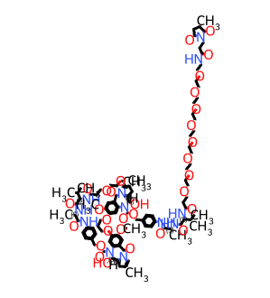 COCCOCCC(=O)N[C@H](C(=O)N[C@@H](C)C(=O)Nc1ccc(COC(=O)N2c3cc(OCCCOc4cc5c(cc4OC)C(=O)N4C=C(C)C[C@H]4[C@H](O)N5C(=O)OCc4ccc(NC(=O)[C@H](C)NC(=O)[C@@H](NC(=O)CCOCCOCCOCCOCCOCCOCCOCCOCCNC(=O)CCN5C(=O)CC(C)C5=O)C(C)C)cc4)c(OC)cc3C(=O)N3C=C(C)C[C@H]3[C@@H]2O)cc1)C(C)C